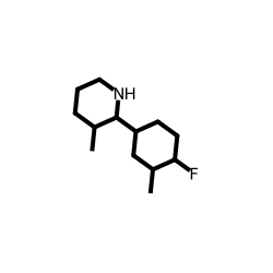 CC1CC(C2NCCCC2C)CCC1F